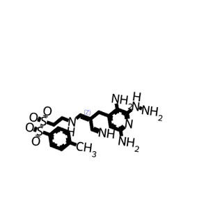 Cc1ccc(S(=O)(=O)S(=O)(=O)CCN/C=C(\C=N)Cc2cc(N)nc(NN)c2N)cc1